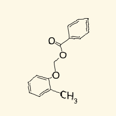 Cc1ccccc1OCOC(=O)c1ccccc1